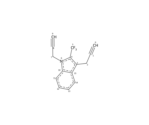 C#CCc1c(C(F)(F)F)n(CC#C)c2ccccc12